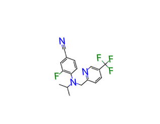 CC(C)N(Cc1ccc(C(F)(F)F)cn1)c1ccc(C#N)cc1F